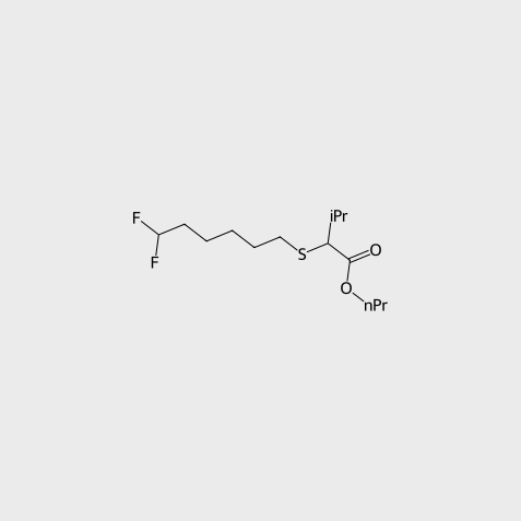 CCCOC(=O)C(SCCCCCC(F)F)C(C)C